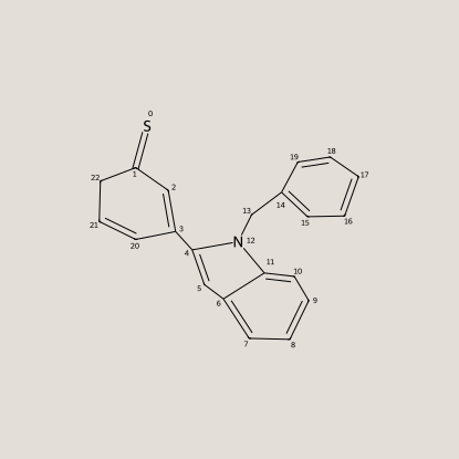 S=C1C=C(c2cc3ccccc3n2Cc2ccccc2)C=CC1